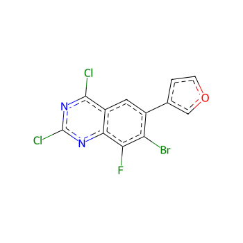 Fc1c(Br)c(-c2ccoc2)cc2c(Cl)nc(Cl)nc12